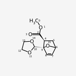 COC(=O)[C@H]1CC2C=C[C@]1(C1OCCO1)O2